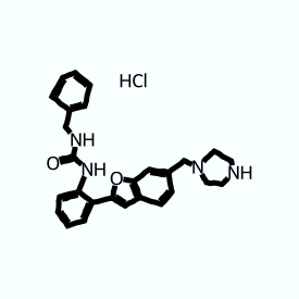 Cl.O=C(NCc1ccccc1)Nc1ccccc1-c1cc2ccc(CN3CCNCC3)cc2o1